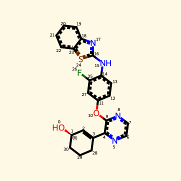 O[C@H]1C=C(c2nccnc2Oc2ccc(Nc3nc4ccccc4s3)c(F)c2)CCC1